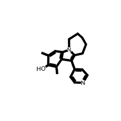 Cc1cc2c(c(C)c1O)c(-c1ccncc1)c1n2CCCCC1